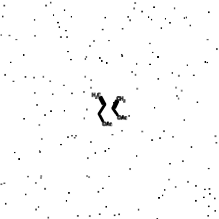 C=CCOC(C)=O.C=COC(C)=O